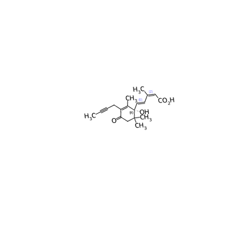 CC#CCC1=C(C)[C@@](O)(/C=C/C(C)=C\C(=O)O)C(C)(C)CC1=O